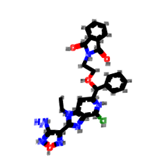 CCn1c(-c2nonc2N)nc2c(Cl)nc(C(OCCN3C(=O)c4ccccc4C3=O)c3ccccc3)cc21